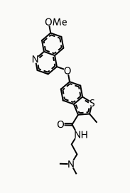 COc1ccc2c(Oc3ccc4c(C(=O)NCCN(C)C)c(C)sc4c3)ccnc2c1